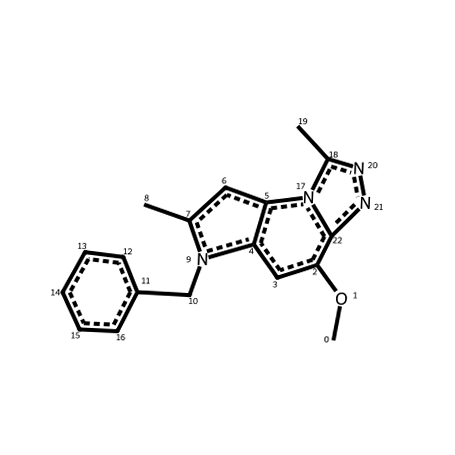 COc1cc2c(cc(C)n2Cc2ccccc2)n2c(C)nnc12